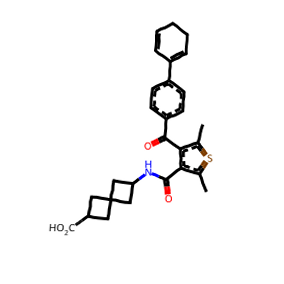 Cc1sc(C)c(C(=O)c2ccc(C3=CCCC=C3)cc2)c1C(=O)NC1CC2(C1)CC(C(=O)O)C2